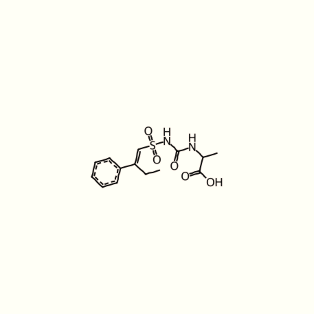 CCC(=CS(=O)(=O)NC(=O)NC(C)C(=O)O)c1ccccc1